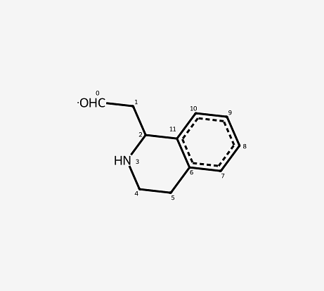 O=[C]CC1NCCc2ccccc21